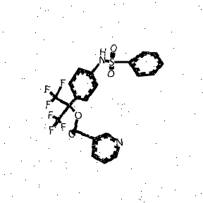 O=C(OC(c1ccc(NS(=O)(=O)c2ccccc2)cc1)(C(F)(F)F)C(F)(F)F)c1cccnc1